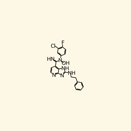 N=C(c1ccnc2nc(NCCc3ccccc3)[nH]c12)N(O)c1ccc(F)c(Cl)c1